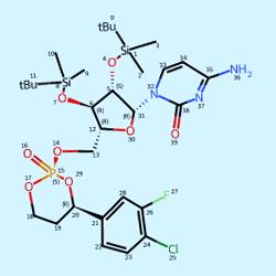 CC(C)(C)[Si](C)(C)O[C@H]1[C@H](O[Si](C)(C)C(C)(C)C)[C@@H](CO[P@]2(=O)OCC[C@H](c3ccc(Cl)c(F)c3)O2)O[C@H]1n1ccc(N)nc1=O